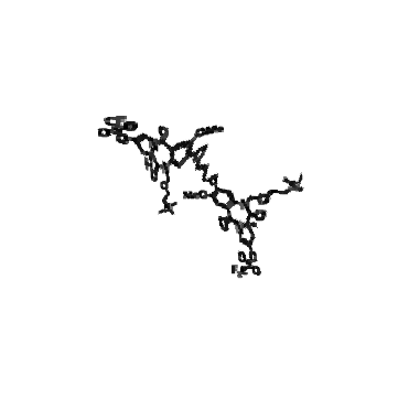 COc1cc2c(cc1OCCCOc1cc3c(cc1OC)C(=O)N1C=C(OS(=O)(=O)C(F)(F)F)C[C@@]1(C)C(=O)N3COCC[Si](C)(C)C)N(COCC[Si](C)(C)C)C(=O)[C@@H]1CC(OS(=O)(=O)C(F)(F)F)=CN1C2=O